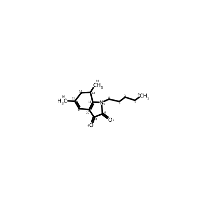 CCCCCN1C(=O)C(=O)C2=C1C(C)CC(C)=C2